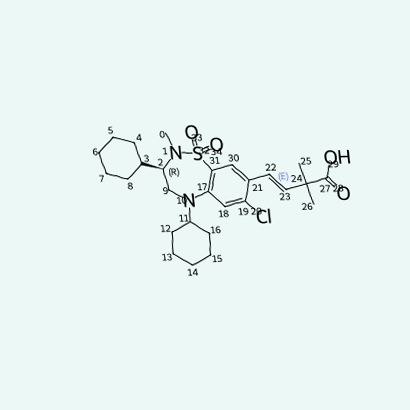 CN1[C@H](C2CCCCC2)CN(C2CCCCC2)c2cc(Cl)c(/C=C/C(C)(C)C(=O)O)cc2S1(=O)=O